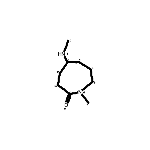 CNC1CCCN(C)C(=O)CC1